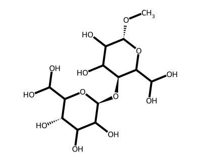 CO[C@@H]1OC(C(O)O)[C@@H](O[C@@H]2OC(C(O)O)[C@@H](O)C(O)C2O)C(O)C1O